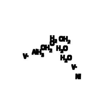 O.O.O.O.O.[AlH3].[Ni].[V].[V]